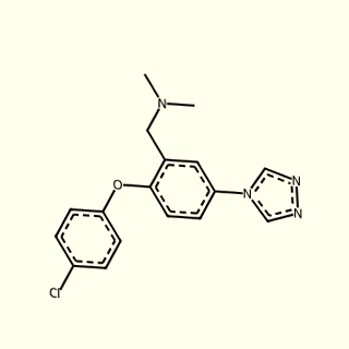 CN(C)Cc1cc(-n2cnnc2)ccc1Oc1ccc(Cl)cc1